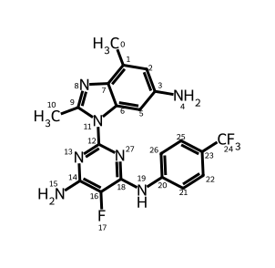 Cc1cc(N)cc2c1nc(C)n2-c1nc(N)c(F)c(Nc2ccc(C(F)(F)F)cc2)n1